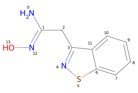 NC(Cc1nsc2ccccc12)=NO